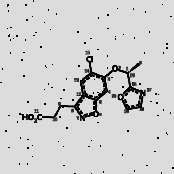 C[C@H](Oc1cc2onc(CCC(=O)O)c2cc1Cl)c1ncco1